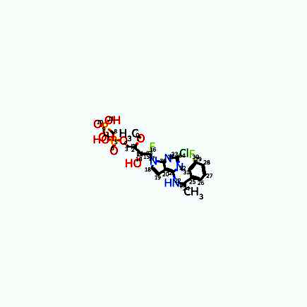 CO[C@H](COP(=O)(O)CP(=O)(O)O)[C@@H](O)[C@H](F)n1ccc2c(N[C@H](C)c3cccc(F)c3)nc(Cl)nc21